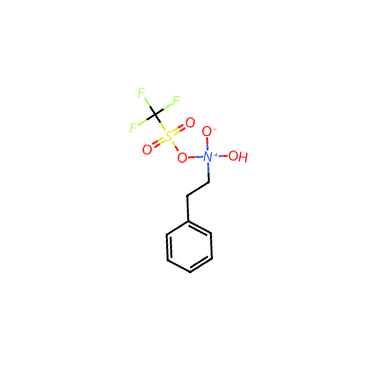 O=S(=O)(O[N+]([O-])(O)CCc1ccccc1)C(F)(F)F